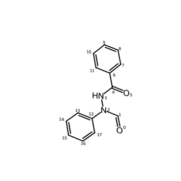 O=CN(NC(=O)c1ccccc1)c1ccccc1